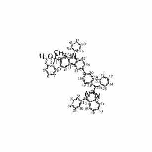 CC1(C)c2ccccc2-c2cc3c4cc(-c5ccc6c(c5)-c5ccccc5C6c5nc(-c6ccccc6)c6ccccc6n5)ccc4n(-c4ccccc4)c3cc21